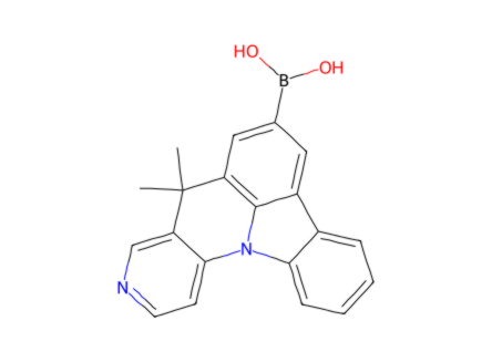 CC1(C)c2cnccc2-n2c3ccccc3c3cc(B(O)O)cc1c32